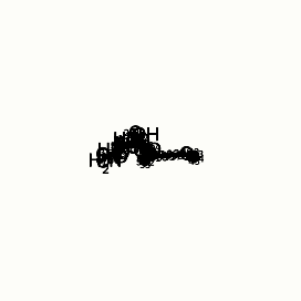 COC(=O)CC[C@@H](NC(=O)[C@](N)(CC(C)O[C@@H]1[C@@H](NC(C)=O)[C@@H](O)O[C@H](COC(=O)CCCCCCCCCCOc2ccccc2)[C@H]1OCc1ccccc1)C(C)C)C(N)=O